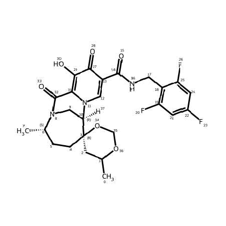 CC1C[C@@]2(CC[C@H](C)N3C[C@H]2n2cc(C(=O)NCc4c(F)cc(F)cc4F)c(=O)c(O)c2C3=O)OCO1